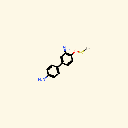 CC(=O)SOc1ccc(-c2ccc(N)cc2)cc1N